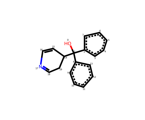 OC(c1ccccc1)(c1ccccc1)C1C=CN=CC1